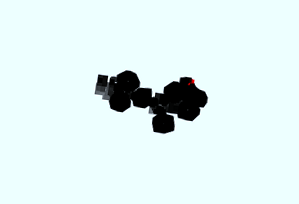 CC1(C)c2ccccc2N(c2ccc(C3=NC(C4=CC=CCC4)NC(c4cccc5c4Oc4ccccc4C54c5ccccc5-c5ccccc54)=N3)cc2)c2ccccc21